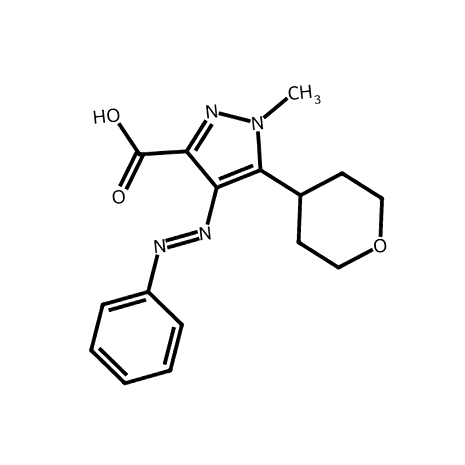 Cn1nc(C(=O)O)c(/N=N/c2ccccc2)c1C1CCOCC1